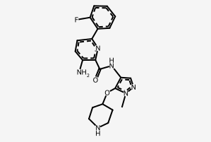 Cn1ncc(NC(=O)c2nc(-c3ccccc3F)ccc2N)c1OC1CCNCC1